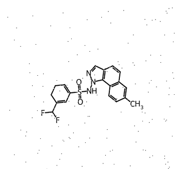 Cc1ccc2c(ccc3cnn(NS(=O)(=O)C4=CCCC(C(F)F)=C4)c32)c1